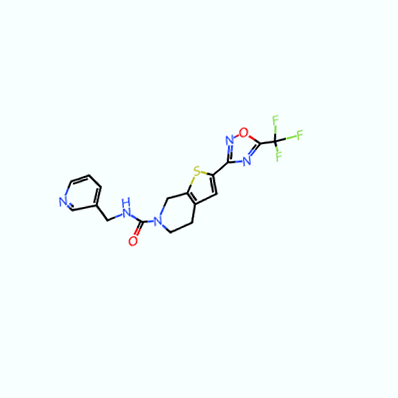 O=C(NCc1cccnc1)N1CCc2cc(-c3noc(C(F)(F)F)n3)sc2C1